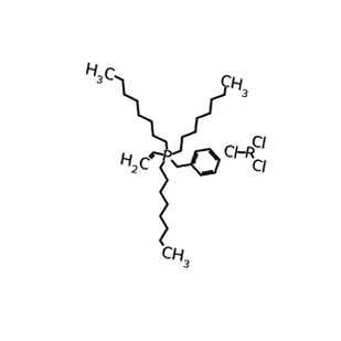 C=CP(CCCCCCCC)(CCCCCCCC)(CCCCCCCC)Cc1ccccc1.ClP(Cl)Cl